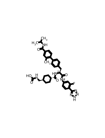 Cc1cc(C(=O)NC(C)C)ccc1-c1ccc(C[C@H](NC(=O)[C@H]2CC[C@H](CNC(=O)O)CC2)C(=O)Nc2ccc(-c3nn[nH]n3)c(F)c2)cc1